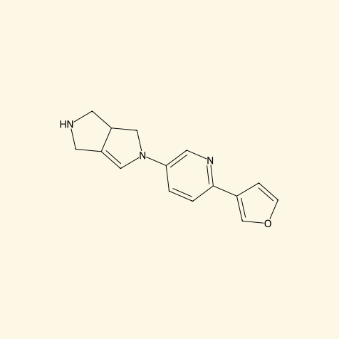 C1=C2CNCC2CN1c1ccc(-c2ccoc2)nc1